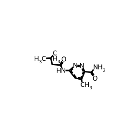 Cc1cc(NC(=O)CC(C)C)nnc1C(N)=O